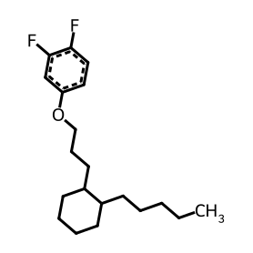 CCCCCC1CCCCC1CCCOc1ccc(F)c(F)c1